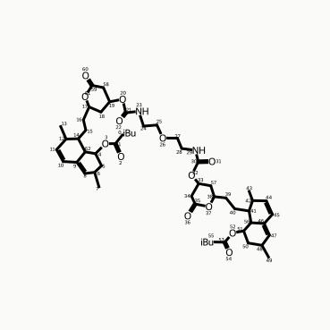 CCC(C)C(=O)OC1CC(C)C=C2C=CC(C)C(CCC3CC(OC(=O)NCCOCCNC(=O)OC4CC(=O)OC(CCC5C(C)C=CC6=CC(C)CC(OC(=O)C(C)CC)C65)C4)CC(=O)O3)C21